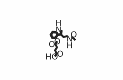 CC(=O)NCCc1c[nH]c2cccc(OC(=O)CCC(=O)O)c12